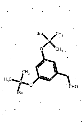 CC(C)(C)[Si](C)(C)Oc1cc(CC=O)cc(O[Si](C)(C)C(C)(C)C)c1